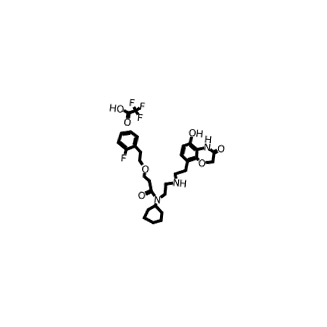 O=C(O)C(F)(F)F.O=C1COc2c(CCNCCN(C(=O)CCOCCc3ccccc3F)C3CCCCC3)ccc(O)c2N1